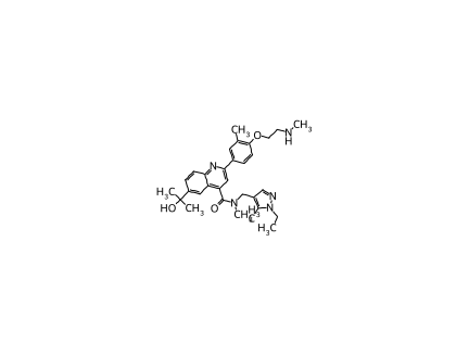 CCn1ncc(CN(C)C(=O)c2cc(-c3ccc(OCCNC)c(C)c3)nc3ccc(C(C)(C)O)cc23)c1C